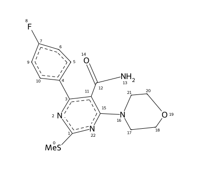 CSc1nc(-c2ccc(F)cc2)c(C(N)=O)c(N2CCOCC2)n1